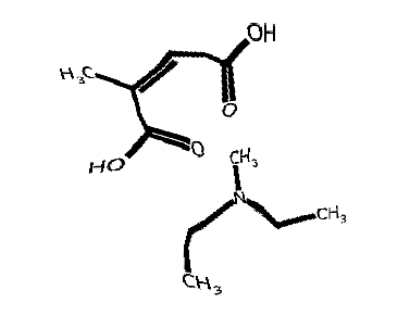 C/C(=C/C(=O)O)C(=O)O.CCN(C)CC